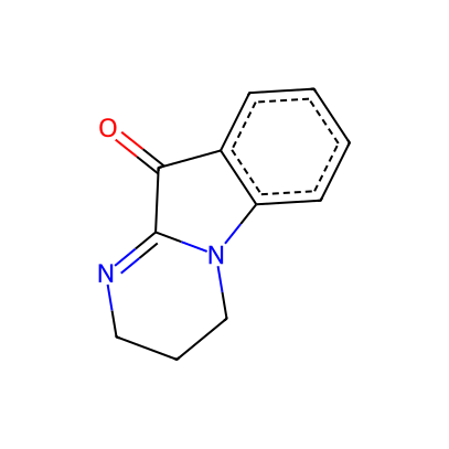 O=C1C2=NCCCN2c2ccccc21